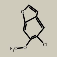 FC(F)(F)Oc1cc2oc[c]c2cc1Cl